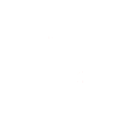 CC(CC(O)c1ccc(O)cc1P(=O)(O)O)c1ccc(O)cc1